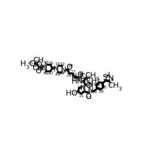 Cc1ncsc1-c1ccc(CNC(=O)C2C[C@@H](O)CN2C(=O)[C@@H](NC(=O)CCCC(=O)N2CCN(C3CCN(C(=O)OC(C)(C)C)CC3)CC2)C(C)(C)C)cc1